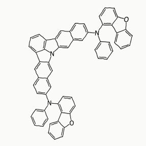 c1ccc(N(c2ccc3cc4c5cccc6c7cc8ccc(N(c9ccccc9)c9cccc%10oc%11ccccc%11c9%10)cc8cc7n(c4cc3c2)c56)c2cccc3oc4ccccc4c23)cc1